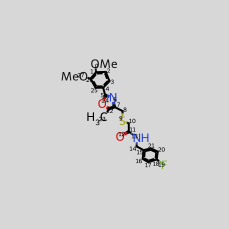 COc1ccc(-c2nc(CSCC(=O)NCc3ccc(F)cc3)c(C)o2)cc1OC